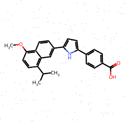 COc1ccc(C(C)C)c2cc(-c3ccc(-c4ccc(C(=O)O)cc4)[nH]3)ccc12